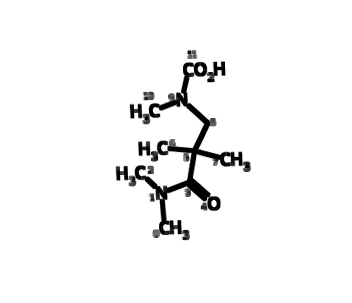 CN(C)C(=O)C(C)(C)CN(C)C(=O)O